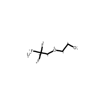 [Li+].[O-]CCOCC(F)(F)F